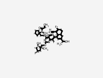 C#Cc1c(F)ccc2cc([C@@H](C)O)cc(-c3ncc4c(NCC5(N(C)C(=O)C=C)CCCC5)nc(OC[C@]5(C)C[C@@H](F)CN5C)nc4c3F)c12